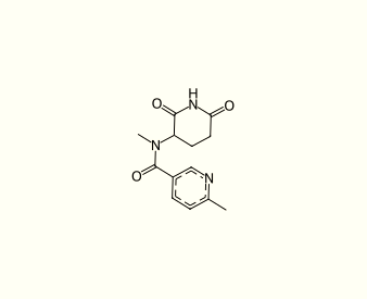 Cc1ccc(C(=O)N(C)C2CCC(=O)NC2=O)cn1